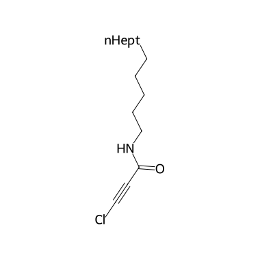 CCCCCCCCCCCCNC(=O)C#CCl